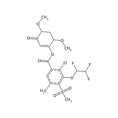 COC1CC(OC)C(OC(=O)c2cc(C)c(S(C)(=O)=O)c(OC(F)C(F)F)c2Cl)=CC1=O